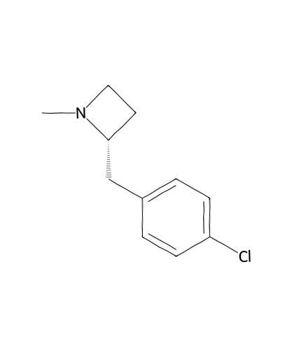 CN1CC[C@@H]1Cc1ccc(Cl)cc1